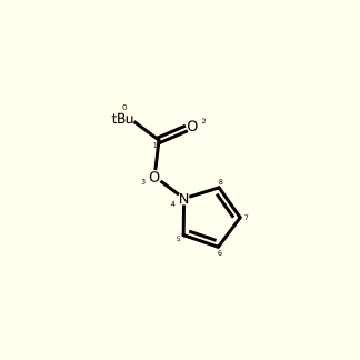 CC(C)(C)C(=O)On1cccc1